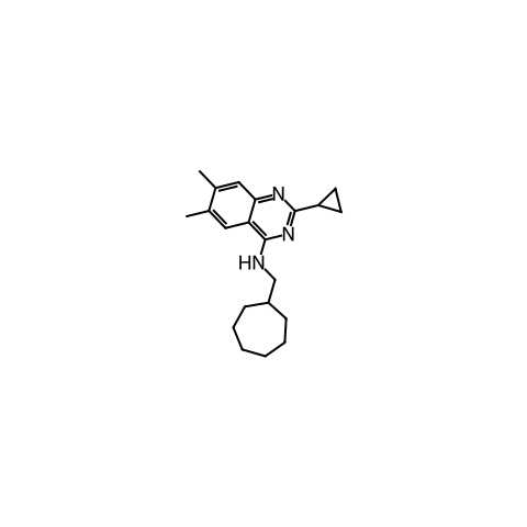 Cc1cc2nc(C3CC3)nc(NCC3CCCCCC3)c2cc1C